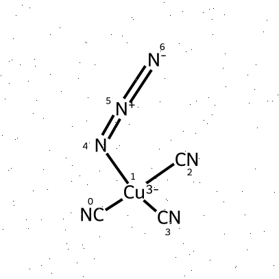 N#[C][Cu-3]([C]#N)([C]#N)[N]=[N+]=[N-]